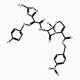 Nc1nc(C(=NOc2ccc(F)cc2)C(=O)NC2C(=O)N3C(C(=O)OCc4ccc([N+](=O)[O-])cc4)=CCS[C@@H]23)ns1